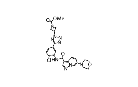 COC(=O)N1CC(n2nnc(-c3ccc(Cl)c(NC(=O)c4cnn5cc(N6CCOCC6)ccc45)c3)n2)C1